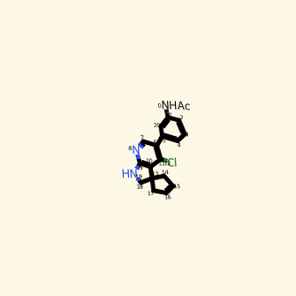 CC(=O)Nc1cccc(-c2cnc3c(c2Cl)C2(CC=CC2)CN3)c1